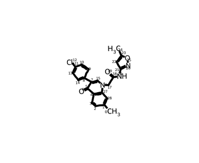 Cc1ccc2c(=O)c(-c3ccc(Cl)cc3)cn(CC(=O)Nc3cc(C)on3)c2c1